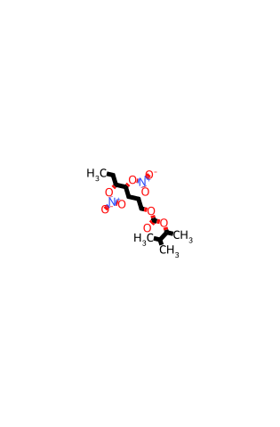 CCC(O[N+](=O)[O-])C(CCCOC(=O)OC(C)C(C)C)O[N+](=O)[O-]